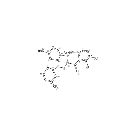 CC(=O)Nc1ccc(Cl)c(F)c1C(=O)N(CCc1cccc(C(F)(F)F)c1)Cc1ccc(C(C)(C)C)cc1